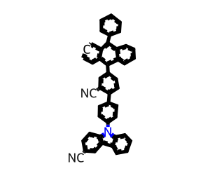 N#Cc1ccc2c(c1)c1ccccc1n2-c1ccc(-c2ccc(-c3c4ccccc4c(-c4ccccc4)c4ccccc34)cc2C#N)cc1